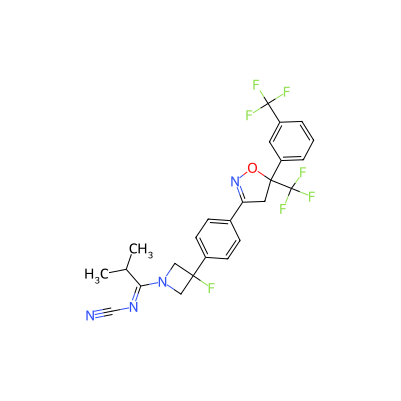 CC(C)C(=NC#N)N1CC(F)(c2ccc(C3=NOC(c4cccc(C(F)(F)F)c4)(C(F)(F)F)C3)cc2)C1